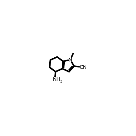 Cn1c(C#N)cc2c1CCCC2N